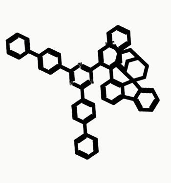 CC1C=C2CC(CCC23c2ccccc2-c2cccc(-c4cc5ccccc5cc4-c4nc(-c5ccc(-c6ccccc6)cc5)nc(-c5ccc(-c6ccccc6)cc5)n4)c23)C1